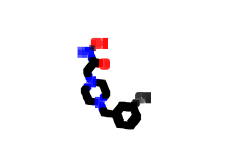 N#Cc1cccc(CN2CCN(CC(=O)NO)CC2)c1